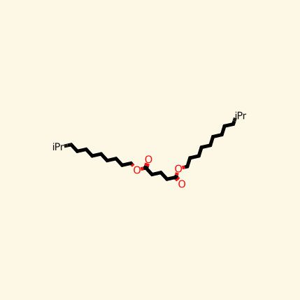 CC(C)CCCCCCCCCOC(=O)CCCC(=O)OCCCCCCCCCC(C)C